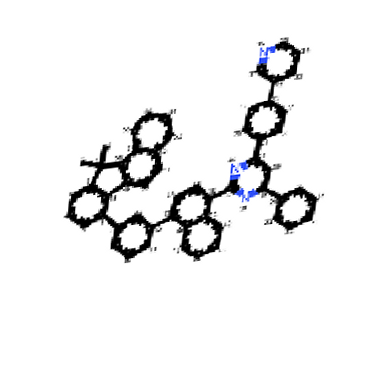 CC1(C)c2cccc(-c3cccc(-c4ccc(-c5nc(-c6ccccc6)cc(-c6ccc(-c7cccnc7)cc6)n5)c5ccccc45)c3)c2-c2ccc3ccccc3c21